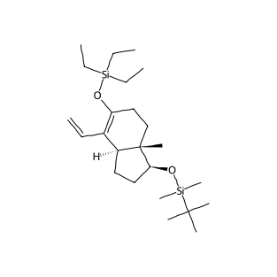 C=CC1=C(O[Si](CC)(CC)CC)CC[C@]2(C)[C@@H](O[Si](C)(C)C(C)(C)C)CC[C@@H]12